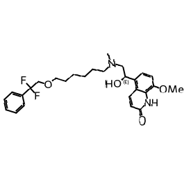 COc1ccc([C@@H](O)CN(C)CCCCCCOCC(F)(F)c2ccccc2)c2ccc(=O)[nH]c12